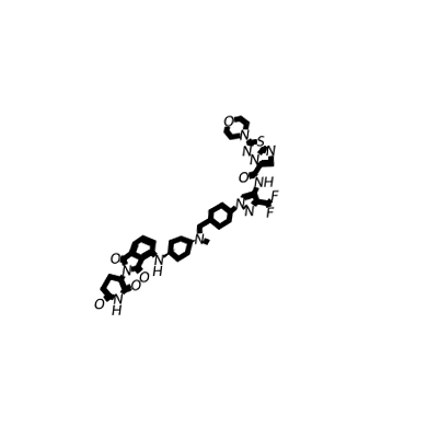 CN(CC1CCC(n2cc(NC(=O)c3cnc4sc(N5CCOCC5)nn34)c(C(F)F)n2)CC1)[C@H]1CC[C@H](Nc2cccc3c2C(=O)N(C2CCC(=O)NC2=O)C3=O)CC1